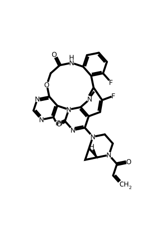 C=CC(=O)N1CCN(c2nc(=O)n3c4nc(c(F)cc24)-c2c(F)cccc2NC(=O)COc2ncnc(C(C)C)c2-3)C2C[C@H]21